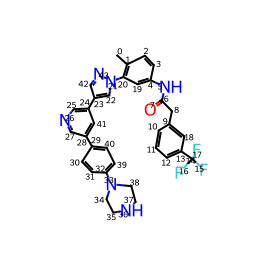 Cc1ccc(NC(=O)Cc2cccc(C(F)(F)F)c2)cc1-n1cc(-c2cncc(-c3ccc(N4CCNCC4)cc3)c2)cn1